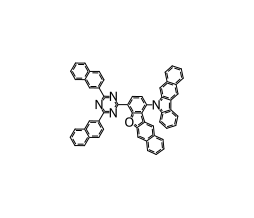 c1ccc2cc(-c3nc(-c4ccc5ccccc5c4)nc(-c4ccc(-n5c6ccccc6c6cc7ccccc7cc65)c5c4oc4cc6ccccc6cc45)n3)ccc2c1